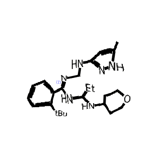 CCC(N/C(=N\CNc1cc(C)[nH]n1)c1ccccc1C(C)(C)C)NC1CCOCC1